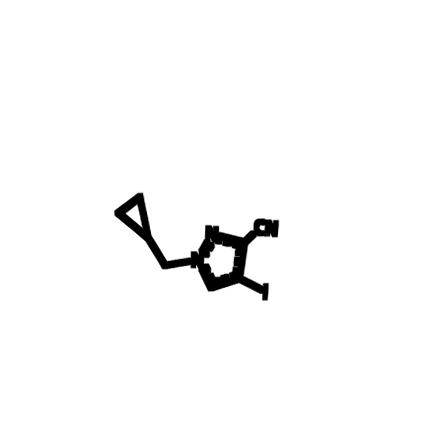 N#Cc1nn(CC2CC2)cc1I